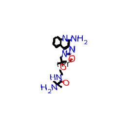 CCCOc1nc2c(N)nc3ccccc3c2n1CC(C)(C)OCCNC(=O)C(C)(C)N